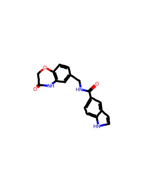 O=C1COc2ccc(CNC(=O)c3ccc4[nH]ccc4c3)cc2N1